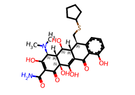 CN(C)[C@@H]1C(O)=C(C(N)=O)C(=O)[C@@]2(O)C(O)=C3C(=O)c4c(O)cccc4[C@H](CSC4CCCC4)[C@H]3[C@H](O)[C@@H]12